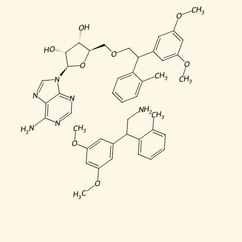 COc1cc(OC)cc(C(CN)c2ccccc2C)c1.COc1cc(OC)cc(C(COC[C@H]2O[C@@H](n3cnc4c(N)ncnc43)[C@H](O)[C@@H]2O)c2ccccc2C)c1